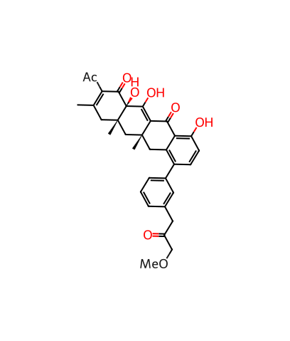 COCC(=O)Cc1cccc(-c2ccc(O)c3c2C[C@]2(C)C[C@]4(C)CC(C)=C(C(C)=O)C(=O)[C@]4(O)C(O)=C2C3=O)c1